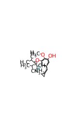 COc1c(O)cc(C=C2CC2)c(F)c1O[Si](C(C)C)(C(C)C)C(C)C